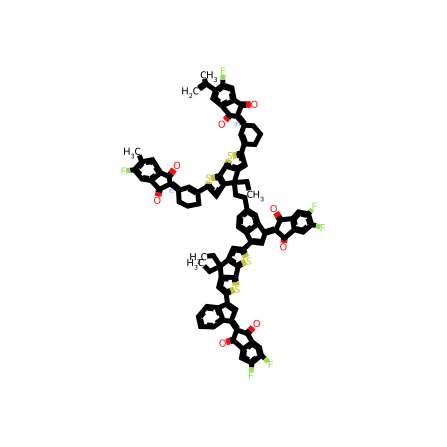 C=C(C)c1cc2c(cc1F)C(=O)/C(=C1/C=C(c3cc4c(s3)-c3sc(C5=C/C(=C6\C(=O)c7cc(C)c(F)cc7C6=O)CCC5)cc3C4(CC)CCc3ccc4c(c3)C(=C3C(=O)c5cc(F)c(F)cc5C3=O)C=C4c3cc4c(s3)-c3sc(C5=CC(=C6C(=O)c7cc(F)c(F)cc7C6=O)c6ccccc65)cc3C4(CC)CC)CCC1)C2=O